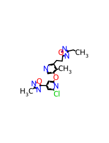 CCc1noc(CCc2cncc(Oc3cc(-c4nc(C)no4)cc(Cl)n3)c2C)n1